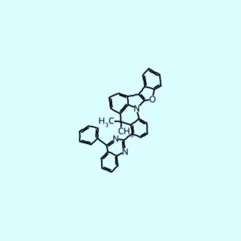 CC1(C)c2c(-c3nc(-c4ccccc4)c4ccccc4n3)cccc2-n2c3oc4ccccc4c3c3cccc1c32